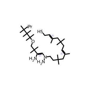 C/C(=C\CS)CC(C)(C)C/C=C(\C)CC(C)(C)CCN(N)/C=C(\N)C(C)(C)COC(C)(C)C(C)(C)C(C)(C)C(C)C